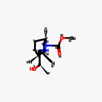 C[C@H](O)[C@H]1NC[C@H]2CC[C@@H]1CN2C(=O)OC(C)(C)C